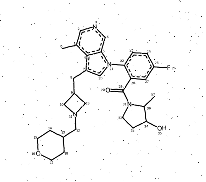 Cc1cncc2c1c(CC1CN(CC3CCOCC3)C1)cn2-c1ccc(F)cc1C(=O)N1CCC(O)C1C